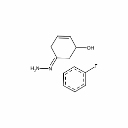 Fc1ccccc1.NN=C1CC=CC(O)C1